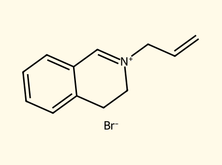 C=CC[N+]1=Cc2ccccc2CC1.[Br-]